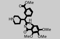 COC(=O)c1cccc(C(c2nc(=O)c3c(OC)c(OC)c(OC)cc3[nH]2)C2CCNCC2)c1